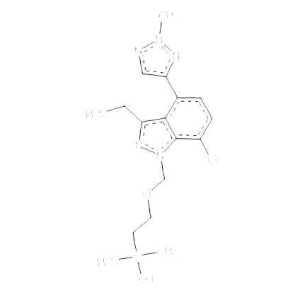 CCc1nn(COCC[Si](C)(C)C)c2c(Cl)ccc(-c3cnn(C)n3)c12